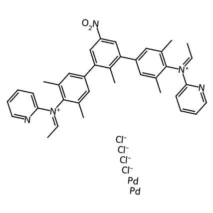 CC=[N+](c1ccccn1)c1c(C)cc(-c2cc([N+](=O)[O-])cc(-c3cc(C)c([N+](=CC)c4ccccn4)c(C)c3)c2C)cc1C.[Cl-].[Cl-].[Cl-].[Cl-].[Pd].[Pd]